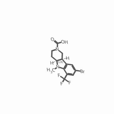 CN1c2c(cc(Br)cc2C(F)(F)F)[C@@H]2CN(C(=O)O)CC[C@@H]21